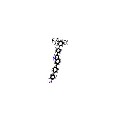 CCc1cc(-c2ccc(-c3cnc4cc(-c5ccc(-c6ccc(I)cc6)cc5)ccc4c3)cc2)cc(C(F)(F)F)c1